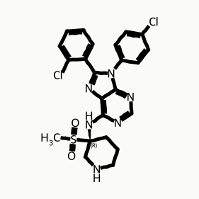 CS(=O)(=O)[C@]1(Nc2ncnc3c2nc(-c2ccccc2Cl)n3-c2ccc(Cl)cc2)CCCNC1